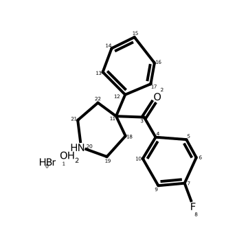 Br.O.O=C(c1ccc(F)cc1)C1(c2ccccc2)CCNCC1